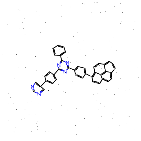 c1ccc(-c2nc(-c3ccc(-c4cncnc4)cc3)nc(-c3ccc(-c4ccc5ccc6cccc7ccc4c5c67)cc3)n2)cc1